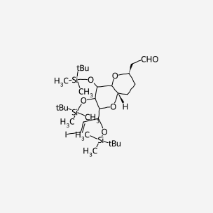 CC(C)(C)[Si](C)(C)OC(/C=C/I)C1O[C@H]2CC[C@H](CC=O)OC2C(O[Si](C)(C)C(C)(C)C)C1O[Si](C)(C)C(C)(C)C